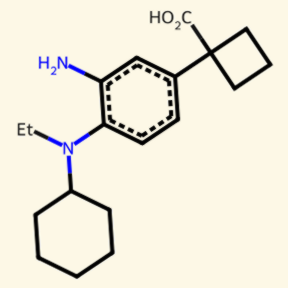 CCN(c1ccc(C2(C(=O)O)CCC2)cc1N)C1CCCCC1